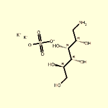 NC[C@H](O)[C@@H](O)[C@H](O)[C@H](O)CO.O=S(=O)([O-])[O-].[K+].[K+]